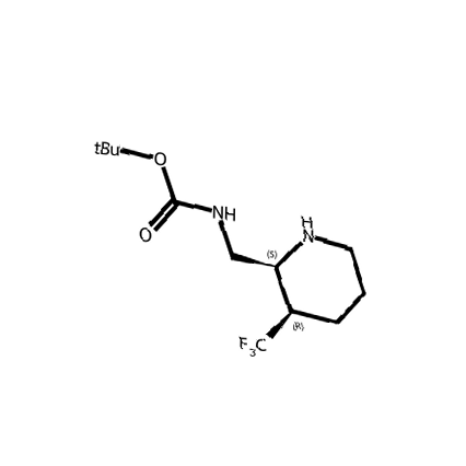 CC(C)(C)OC(=O)NC[C@H]1NCCC[C@H]1C(F)(F)F